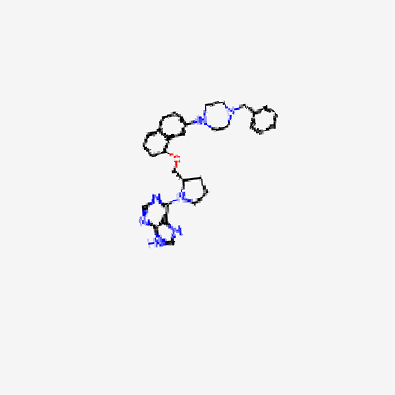 c1ccc(CN2CCN(c3ccc4cccc(OCC5CCCN5c5ncnc6[nH]cnc56)c4c3)CC2)cc1